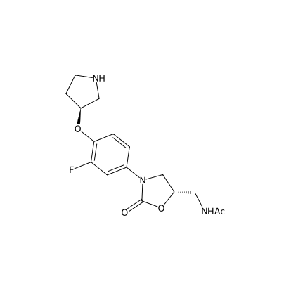 CC(=O)NC[C@H]1CN(c2ccc(O[C@H]3CCNC3)c(F)c2)C(=O)O1